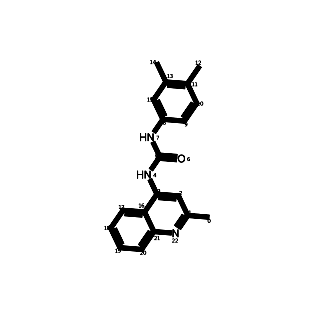 Cc1cc(NC(=O)Nc2ccc(C)c(C)c2)c2ccccc2n1